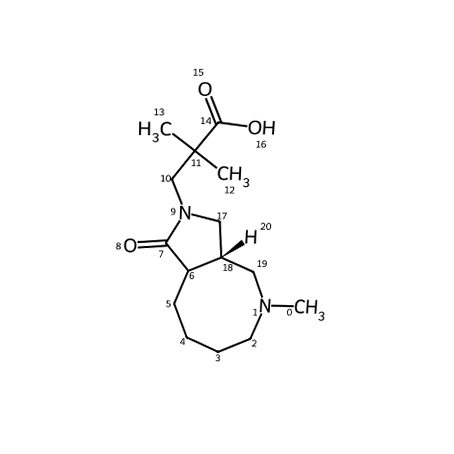 CN1CCCCC2C(=O)N(CC(C)(C)C(=O)O)C[C@@H]2C1